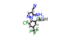 N#Cc1cnn(-c2c(Cl)cc(C(F)(F)F)cc2Cl)c1N.[NaH]